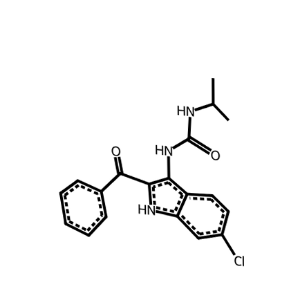 CC(C)NC(=O)Nc1c(C(=O)c2ccccc2)[nH]c2cc(Cl)ccc12